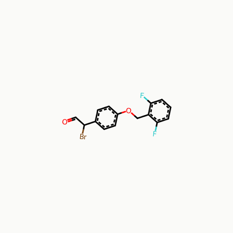 O=CC(Br)c1ccc(OCc2c(F)cccc2F)cc1